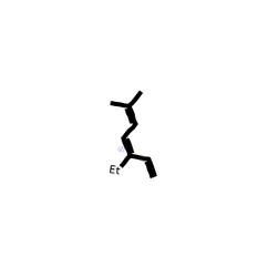 C=C/C(=C\C=C(C)C)CC